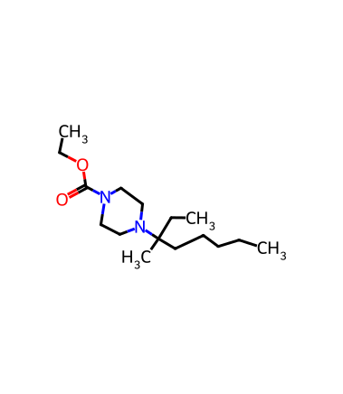 CCCCCC(C)(CC)N1CCN(C(=O)OCC)CC1